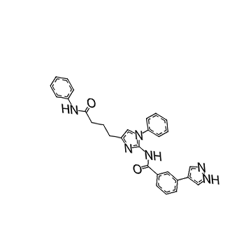 O=C(CCCc1cn(-c2ccccc2)c(NC(=O)c2cccc(-c3cn[nH]c3)c2)n1)Nc1ccccc1